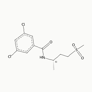 C[C@@H](CCS(C)(=O)=O)NC(=O)c1cc(Cl)cc(Cl)c1